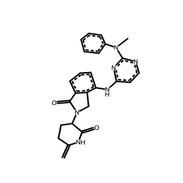 C=C1CCC(N2Cc3c(Nc4ccnc(N(C)c5ccccc5)n4)cccc3C2=O)C(=O)N1